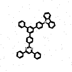 c1ccc(-c2cc(-c3ccc(-c4nc(-c5ccccc5)cc(-c5ccccc5)n4)cc3)cc(-c3ccc(-n4c5ccccc5c5ccccc54)cc3)c2)cc1